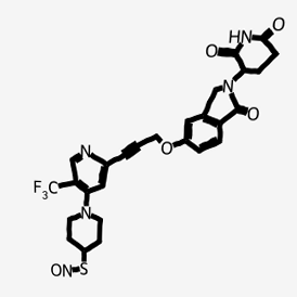 O=NSC1CCN(c2cc(C#CCOc3ccc4c(c3)CN(C3CCC(=O)NC3=O)C4=O)ncc2C(F)(F)F)CC1